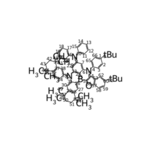 CC(C)(C)c1ccc(N2c3cc(N(c4ccccc4)c4ccccc4)cc4c3B(c3cc5c(cc3N4c3ccc4c(c3)C(C)(C)CCC4(C)C)C(C)(C)CCC5(C)C)c3oc4ccc(C(C)(C)C)cc4c32)cc1